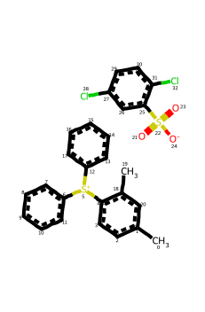 Cc1ccc([S+](c2ccccc2)c2ccccc2)c(C)c1.O=S(=O)([O-])c1cc(Cl)ccc1Cl